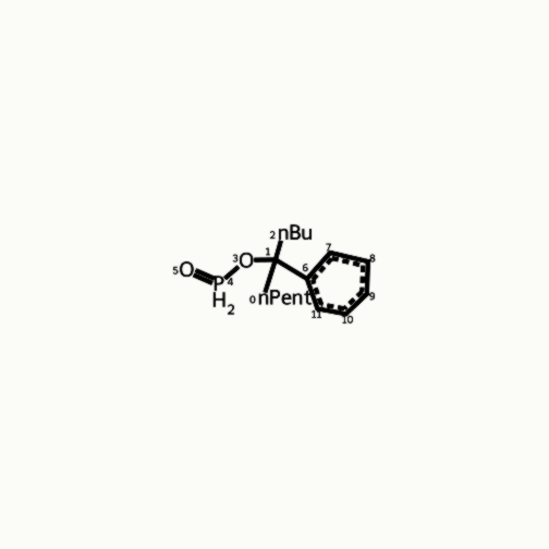 CCCCCC(CCCC)(O[PH2]=O)c1ccccc1